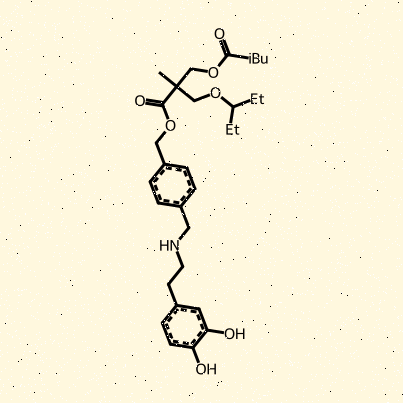 CCC(CC)OCC(C)(COC(=O)C(C)CC)C(=O)OCc1ccc(CNCCc2ccc(O)c(O)c2)cc1